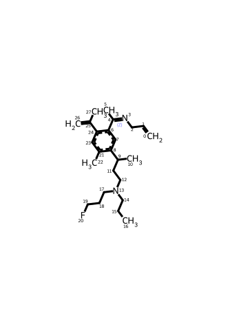 C=CC/N=C(/C)c1cc(C(C)CCN(CCC)CCCF)c(C)cc1C(=C)C